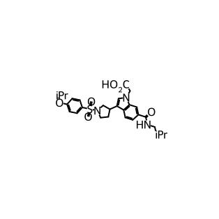 CC(C)CNC(=O)c1ccc2c(C3CCN(S(=O)(=O)c4ccc(OC(C)C)cc4)C3)cn(CC(=O)O)c2c1